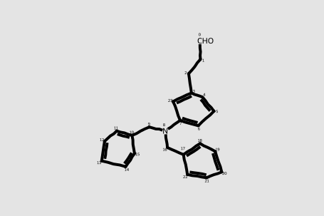 O=CCCc1cccc(N(Cc2ccccc2)Cc2ccccc2)c1